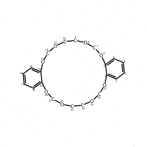 c1ccc2c(c1)OCOCCOCOc1ccccc1OCOCCOCO2